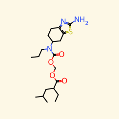 CCCN(C(=O)OCOC(=O)C(CC)CC(C)C)C1CCc2nc(N)sc2C1